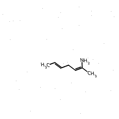 CC=CCC=C(C)N